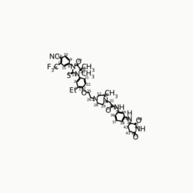 CCc1cc(N2C(=S)N(c3ccc(C#N)c(C(F)(F)F)c3)C(=O)C2(C)C)ccc1OCCN1CCN(CC(=O)Nc2cccc(NC3CCC(=O)NC3=O)c2)C(C)C1